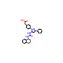 O=C(O)Cc1ccc(-n2nc(-c3ccccc3)cc2NC(=O)N[C@H]2CCCc3ccccc32)cc1